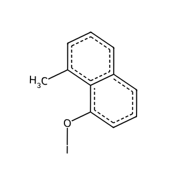 Cc1cccc2cccc(OI)c12